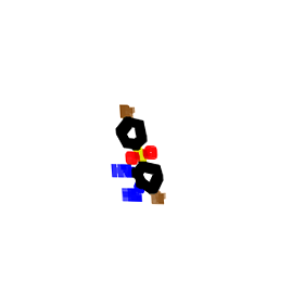 N=C1C(=N)C(S(=O)(=O)c2ccc(Br)cc2)=CC=C1Br